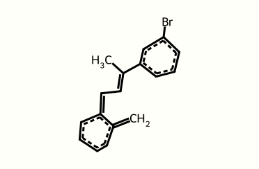 C=c1cccc/c1=C/C=C(\C)c1cccc(Br)c1